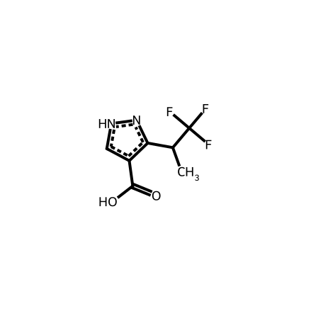 CC(c1n[nH]cc1C(=O)O)C(F)(F)F